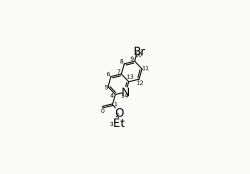 C=C(OCC)c1ccc2cc(Br)ccc2n1